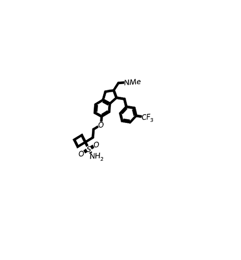 CNCC1Cc2ccc(OCCC3(S(N)(=O)=O)CCC3)cc2C1Cc1cccc(C(F)(F)F)c1